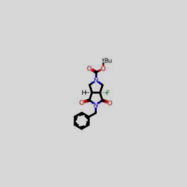 CC(C)(C)OC(=O)N1C[C@@H]2C(=O)N(Cc3ccccc3)C(=O)[C@]2(F)C1